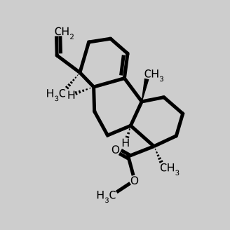 C=C[C@@]1(C)CCC=C2[C@H]1CC[C@@H]1[C@](C)(C(=O)OC)CCC[C@@]21C